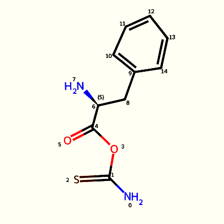 NC(=S)OC(=O)[C@@H](N)Cc1ccccc1